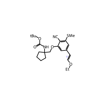 CCO/C=C/c1cc(OCC2(NC(=O)OC(C)(C)C)CCCC2)c(C#N)c(SC)c1